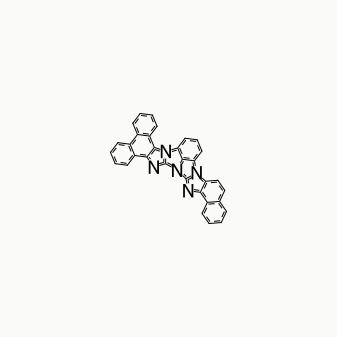 c1ccc2c(c1)ccc1c2nc2n1c1cccc3c1n2c1nc2c4ccccc4c4ccccc4c2n31